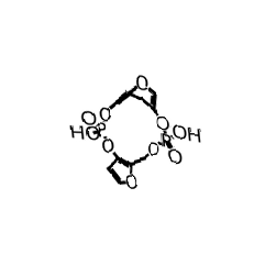 O=P1(O)OCc2occc2OP(=O)(O)OC=C2CC(=CO2)O1